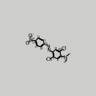 CN(C)c1cc(Cl)c(N=Nc2ccc([N+](=O)[O-])cc2)cc1Cl